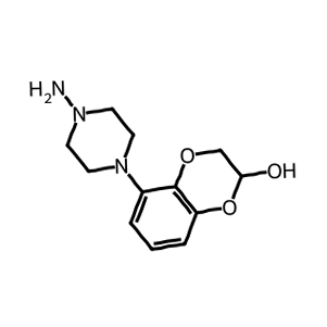 NN1CCN(c2cccc3c2OCC(O)O3)CC1